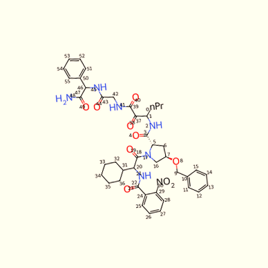 CCCC(NC(=O)[C@@H]1C[C@@H](OCc2ccccc2)CN1C(=O)C(NC(=O)c1ccccc1[N+](=O)[O-])C1CCCCC1)C(=O)C(=O)NCC(=O)NC(C(N)=O)c1ccccc1